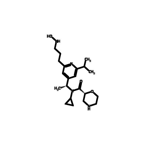 CC(C)c1cc([C@@H](C)N(C(=O)[C@H]2CNCCO2)C2CC2)cc(CCCNO)n1